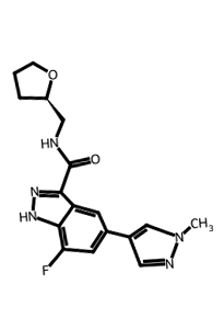 Cn1cc(-c2cc(F)c3[nH]nc(C(=O)NC[C@H]4CCCO4)c3c2)cn1